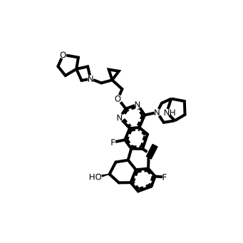 C#Cc1c(F)ccc2c1C(c1c(C)cc3c(N4CC5CCC(C4)N5)nc(OCC4(CN5CC6(CCOC6)C5)CC4)nc3c1F)C[C@H](O)C2